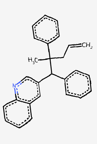 C=CCC(C)(c1ccccc1)C(c1ccccc1)c1cnc2ccccc2c1